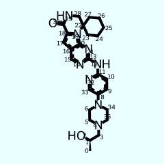 C[C@@H](O)CN1CCN(c2ccc(Nc3ncc4cc5n(c4n3)C3(CCCCC3)CNC5=O)nc2)CC1